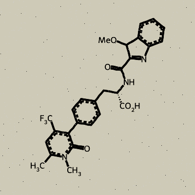 COC1C(C(=O)N[C@@H](Cc2ccc(-c3c(C(F)(F)F)cc(C)n(C)c3=O)cc2)C(=O)O)=Nc2ccccc21